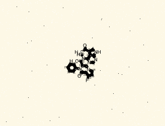 CC(=O)c1c[nH]c2ncnc(N(S)[C@@H](C)c3cn4ccc(F)c4c(=O)n3-c3ccccc3)c12